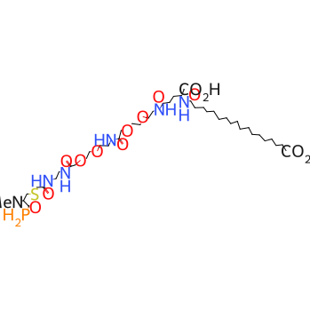 CN[C@@H](CSCC(=O)NCCNC(=O)COCCOCCNC(=O)COCCOCCNC(=O)CC[C@H](NC(=O)CCCCCCCCCCCCCCCCC(=O)O)C(=O)O)C(=O)P